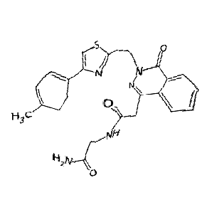 CC1=CC=C(c2csc(Cn3nc(CC(=O)NCC(N)=O)c4ccccc4c3=O)n2)CC1